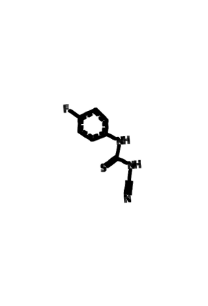 N#CNC(=S)Nc1ccc(F)cc1